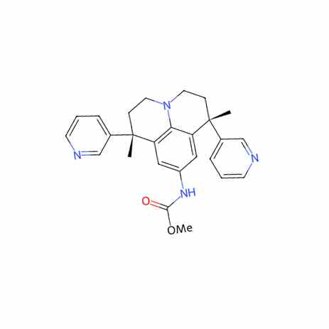 COC(=O)Nc1cc2c3c(c1)[C@@](C)(c1cccnc1)CCN3CC[C@@]2(C)c1cccnc1